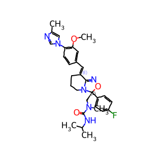 COc1cc(/C=C2\CCCN3C2=NO[C@]3(CN(C)C(=O)NC(C)C)c2ccc(F)cc2)ccc1-n1cnc(C)c1